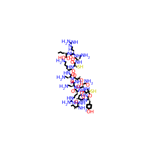 CCCC[C@H](NC(=O)[C@H](CCCNC(=N)N)NC(=O)[C@H](CCN)NC(=O)[C@H](CS)NC(=O)[C@H](CCCCN)NC(=O)[C@@H](CCN)NC(=O)[C@@H](NC(=O)[C@H](CCN)NC(=O)[C@H](CCCNC(=N)N)NC(=O)[C@H](CC(N)=O)NC(=O)[C@@H](NC(=O)[C@H](Cc1ccc(O)cc1)NC(=O)[C@@H](NC(=O)[C@@H](N)[C@@H](C)CC)[C@@H](C)CC)C(C)(C)S)[C@@H](C)O)C(=O)O